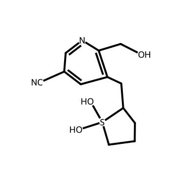 N#Cc1cnc(CO)c(CC2CCCS2(O)O)c1